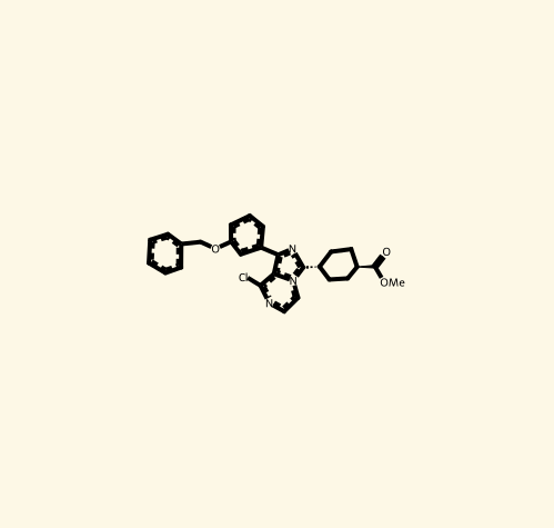 COC(=O)[C@H]1CC[C@H](c2nc(-c3cccc(OCc4ccccc4)c3)c3c(Cl)nccn32)CC1